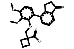 COc1ccc(-c2cccc3c2CCC3=O)c(OCC2(C(=O)O)CCC2)c1OC